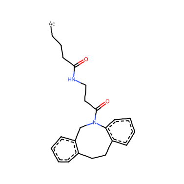 CC(=O)CCCC(=O)NCCC(=O)N1Cc2ccccc2CCc2ccccc21